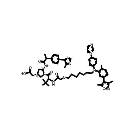 Cc1ccc(-c2c(C)noc2C)cc1N(CCCCCCCOCC(=O)NC(C(=O)N1C[C@@H](CC(=O)O)C[C@H]1NC(=O)C(C)c1ccc(-c2scnc2C)cc1)C(C)(C)C)c1ccc(-n2ccnc2)cc1